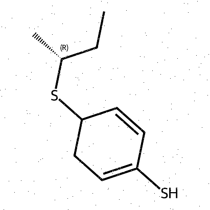 CC[C@@H](C)SC1C=CC(S)=CC1